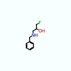 OC(CF)CNCc1ccccc1